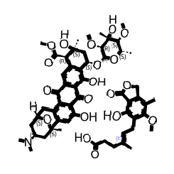 COC(=O)[C@@H]1c2cc3c(c(O)c2[C@@H](O[C@@H]2O[C@@H](C)[C@H](OC)[C@@](C)(O)[C@H]2OC)C[C@]1(C)O)C(=O)c1c(O)cc2c(c1C3=O)C[C@H]1C[C@H](N(C)C)C[C@]2(C)O1.COc1c(C)c2c(c(O)c1C/C=C(\C)CCC(=O)O)C(=O)OC2